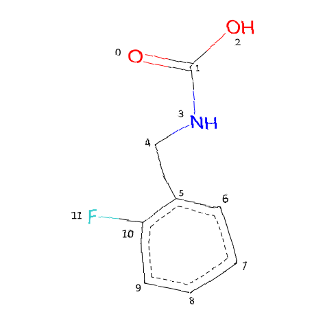 O=C(O)NCc1ccccc1F